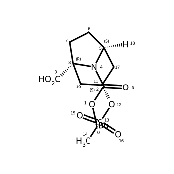 CC(C)(C)OC(=O)N1[C@H]2CC[C@]1(C(=O)O)C[C@@H](OS(C)(=O)=O)C2